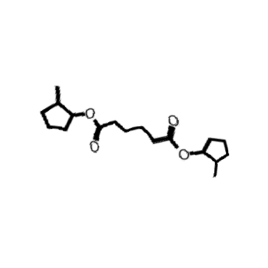 CC1CCCC1OC(=O)CCCCC(=O)OC1CCCC1C